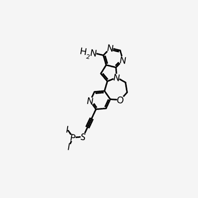 Nc1ncnc2c1cc1n2CCOc2cc(C#CSP(I)I)ncc2-1